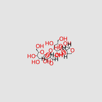 OC[C@H]1O[C@@H](O[C@@H]2[C@H]3OC[C@@H]2O[C@@H](O[C@H]2[C@@H](O)[C@H](O[C@@H]4[C@H]5OC[C@@H]4O[C@@H](O)[C@H]5O)O[C@H](CO)[C@H]2O)[C@H]3O)[C@H](O)[C@H](O)[C@H]1O